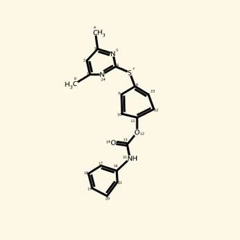 Cc1cc(C)nc(Sc2ccc(OC(=O)Nc3ccccc3)cc2)n1